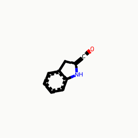 O=C=C1Cc2ccccc2N1